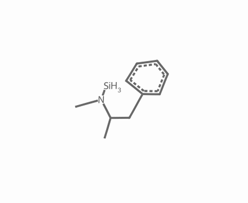 CC(Cc1ccccc1)N(C)[SiH3]